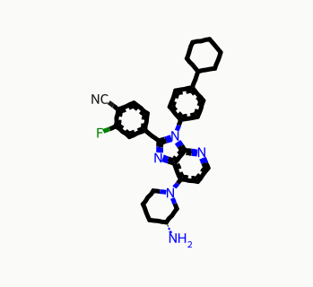 N#Cc1ccc(-c2nc3c(N4CCC[C@@H](N)C4)ccnc3n2-c2ccc(C3CCCCC3)cc2)cc1F